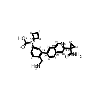 NCc1ccc(N(C(=O)O)C2CCC2)cc1-c1ccc2cc(C3(C(N)=O)CC3)ncc2c1